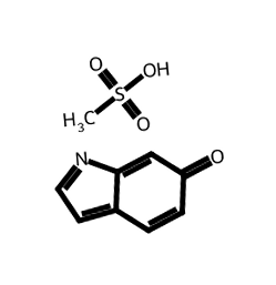 CS(=O)(=O)O.O=C1C=CC2=CC=NC2=C1